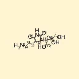 CC(O)[C@@H](O[C@@H](O)CO)n1cc(CCCN)c(=O)[nH]c1=O